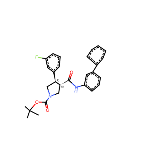 CC(C)(C)OC(=O)N1C[C@@H](C(=O)Nc2cccc(-c3ccccc3)c2)[C@H](c2cccc(F)c2)C1